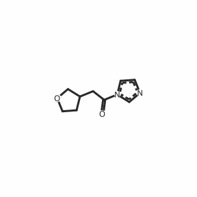 O=C(CC1CCOC1)n1ccnc1